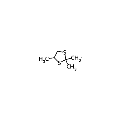 [CH2]C1(C)SCC(C)S1